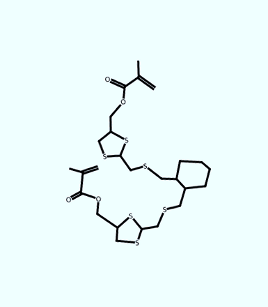 C=C(C)C(=O)OCC1CSC(CSCC2CCCCC2CSCC2SCC(COC(=O)C(=C)C)S2)S1